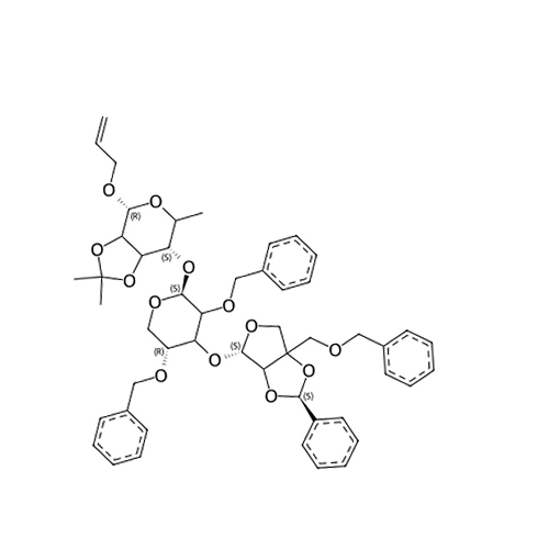 C=CCO[C@@H]1OC(C)[C@H](O[C@@H]2OC[C@@H](OCc3ccccc3)C(O[C@@H]3OCC4(COCc5ccccc5)O[C@@H](c5ccccc5)OC34)C2OCc2ccccc2)C2OC(C)(C)OC21